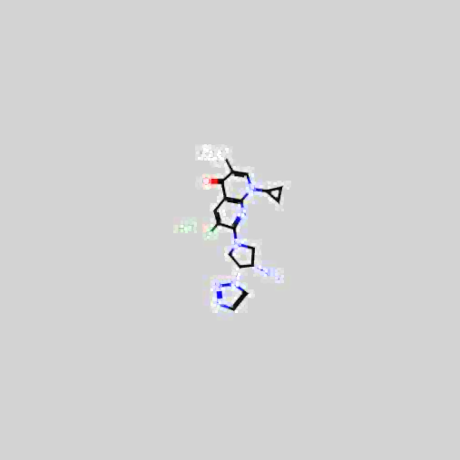 Cl.N[C@H]1CN(c2nc3c(cc2F)c(=O)c(C(=O)O)cn3C2CC2)C[C@H]1n1ccnn1